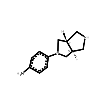 Nc1ccc(N2C[C@@H]3CNC[C@H]3C2)cc1